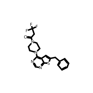 O=C(CC(F)(F)F)N1CCN(c2ncnc3sc(Cc4ccccc4)cc23)CC1